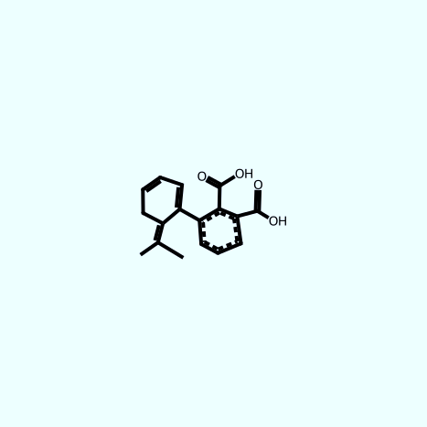 CC(C)=C1CC=CC=C1c1cccc(C(=O)O)c1C(=O)O